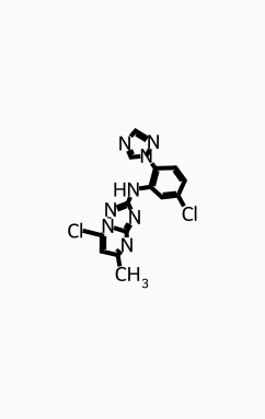 Cc1cc(Cl)n2nc(Nc3cc(Cl)ccc3-n3cncn3)nc2n1